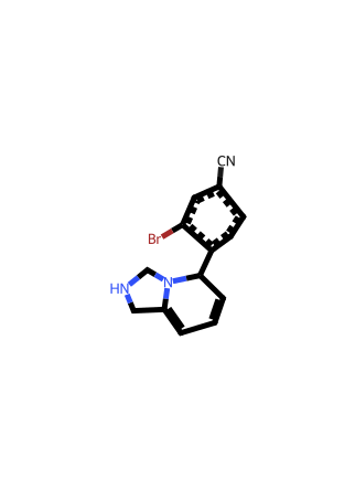 N#Cc1ccc(C2C=CC=C3CNCN32)c(Br)c1